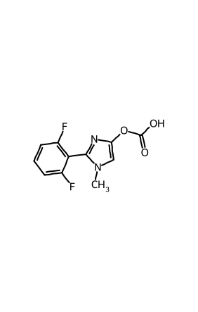 Cn1cc(OC(=O)O)nc1-c1c(F)cccc1F